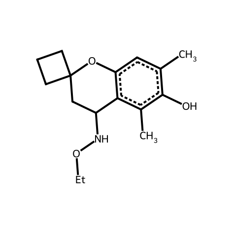 CCONC1CC2(CCC2)Oc2cc(C)c(O)c(C)c21